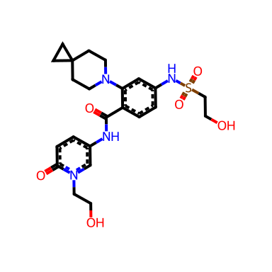 O=C(Nc1ccc(=O)n(CCO)c1)c1ccc(NS(=O)(=O)CCO)cc1N1CCC2(CC1)CC2